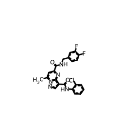 Cc1cc(C(=O)NCc2ccc(F)c(F)c2)nc2c(C(=O)Nc3ccccc3Cl)cnn12